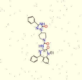 CCN1C(=O)[C@H](NC(=O)N2CCC(n3nc(-c4ccccc4)[nH]c3=O)CC2)N=C(c2ccccc2)c2ccccc21